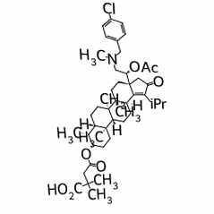 CC(=O)O[C@H](CN(C)Cc1ccc(Cl)cc1)[C@@]12CC[C@]3(C)[C@H](CC[C@@H]4[C@@]5(C)CC[C@H](OC(=O)CC(C)(C)C(=O)O)[C@H](C)[C@@H]5CC[C@]43C)C1=C(C(C)C)C(=O)C2